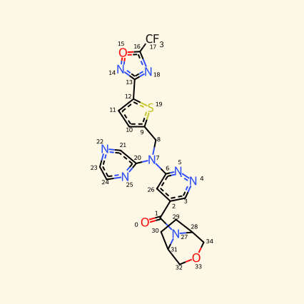 O=C(c1cnnc(N(Cc2ccc(-c3noc(C(F)(F)F)n3)s2)c2cnccn2)c1)N1C2CCC1COC2